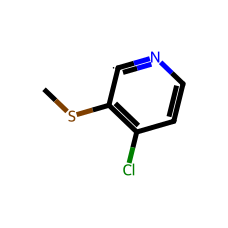 CSc1[c]nccc1Cl